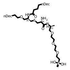 C=P(O)(O)CCOCCOCCOC[C@H](C)NC(=O)[C@@H](N)CSC[C@@H](COCCCCCCCCCCCC)NC(=O)CCCCCCCCCCCCC